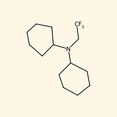 FC(F)(F)CN(C1CCCCC1)C1CCCCC1